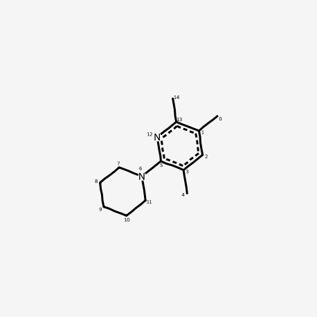 Cc1cc(C)c(N2CCCCC2)nc1C